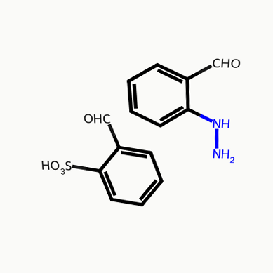 NNc1ccccc1C=O.O=Cc1ccccc1S(=O)(=O)O